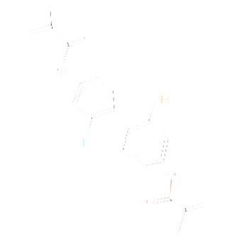 C=C(C)C(=O)Oc1ccc(-c2ccc(OC(=O)C(=C)C)cc2P)c(F)c1